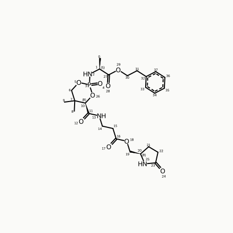 C[C@H](NP1(=O)OCC(C)(C)[C@H](C(=O)NCCC(=O)OC[C@H]2CCC(=O)N2)O1)C(=O)OCCc1ccccc1